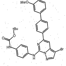 COc1cccc(-c2ccc(-c3cc4c(Br)cnn4c(Nc4ccc(NC(=O)OC(C)(C)C)cc4)n3)cc2)c1